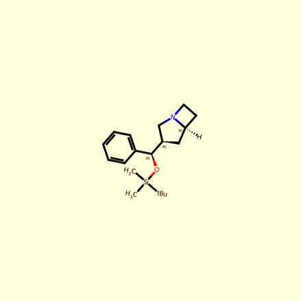 CC(C)(C)[Si](C)(C)O[C@@H](c1ccccc1)[C@@H]1C[C@@H]2CCN2C1